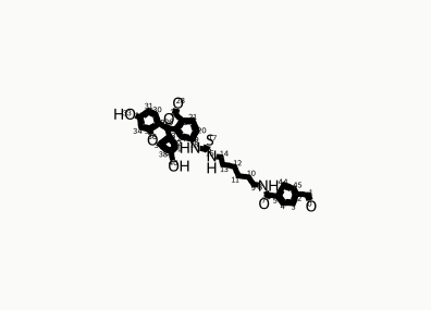 O=Cc1ccc(C(=O)NCCCCCCNC(=S)Nc2ccc3c(c2)C2(OC3=O)c3ccc(O)cc3Oc3cc(O)ccc32)cc1